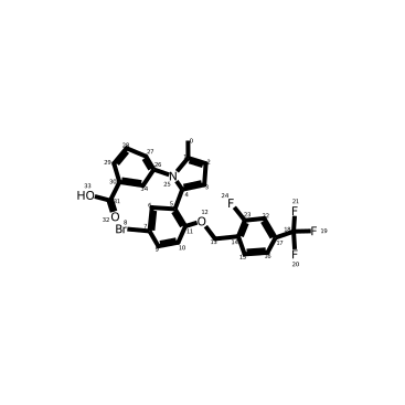 Cc1ccc(-c2cc(Br)ccc2OCc2ccc(C(F)(F)F)cc2F)n1-c1cccc(C(=O)O)c1